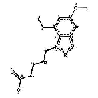 CCc1cc(OC)cc2ccn(CCCCC(=O)O)c12